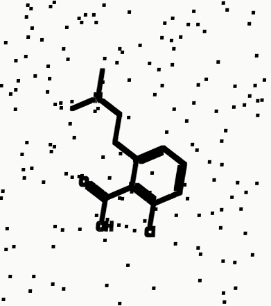 CN(C)CCc1cccc(Cl)c1C(=O)O